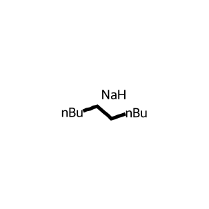 CCCCCCCCCC.[NaH]